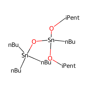 CCC[CH2][Sn]([CH2]CCC)([CH2]CCC)[O][Sn]([CH2]CCC)([O]C(C)CCC)[O]C(C)CCC